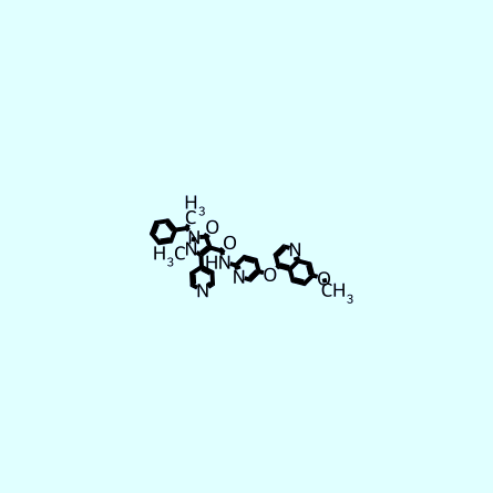 COc1ccc2c(Oc3ccc(NC(=O)c4c(-c5ccncc5)n(C)n(C(C)c5ccccc5)c4=O)nc3)ccnc2c1